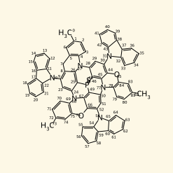 Cc1ccc2c(c1)Cc1c(-n3c4ccccc4c4ccccc43)cc3c4c1N2c1cc(-n2c5ccccc5c5ccccc52)c2c5c1P4(=S)c1c(cc(-n4c6ccccc6c6ccccc64)c4c1N3c1ccc(C)cc1O4)N5c1ccc(C)cc1O2